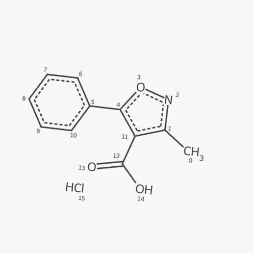 Cc1noc(-c2ccccc2)c1C(=O)O.Cl